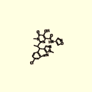 CC(c1nc(C(=O)Nc2cnoc2)c(O)c(=O)n1C)C(c1cnn(C)c1)c1ccc(Cl)cc1C#N